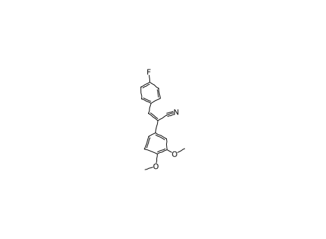 COc1ccc(/C(C#N)=C/c2ccc(F)cc2)cc1OC